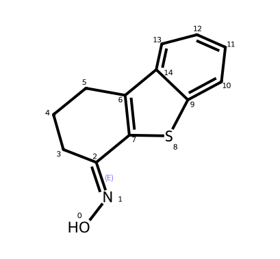 O/N=C1\CCCc2c1sc1ccccc21